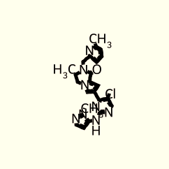 Cc1cccc(CN2C(=O)c3cc(-c4nc(Nc5ccnn5C)ncc4Cl)cn3C[C@H]2C)n1